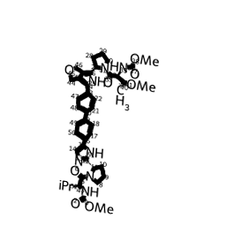 COC(=O)N[C@H](C(=O)N1CCC[C@H]1c1ncc(-c2ccc(-c3ccc(-c4[nH]c([C@H]5CCCN5C(=O)[C@@H](NC(=O)OC)C(C)OC)c5c4COC5)cc3)cc2)[nH]1)C(C)C